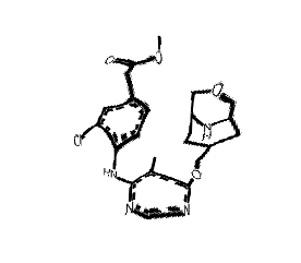 COC(=O)c1ccc(Nc2ncnc(OC3CC4COCC(C3)N4)c2C)c(Cl)c1